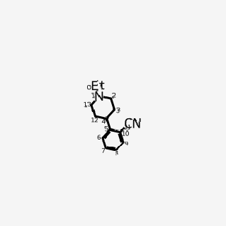 CCN1CCC(c2ccccc2C#N)CC1